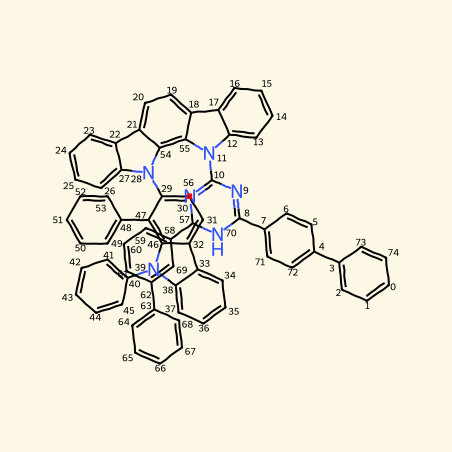 c1ccc(-c2ccc(C3=NC(n4c5ccccc5c5ccc6c7ccccc7n(-c7ccc8c9ccccc9n(-c9ccccc9)c8c7-c7ccccc7)c6c54)=NC(c4cccc(-c5ccccc5)c4)N3)cc2)cc1